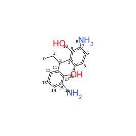 CCC(c1cccc(N)c1O)c1cccc(N)c1O